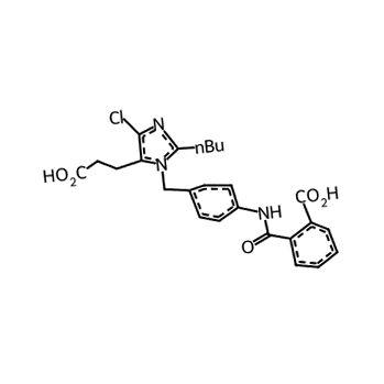 CCCCc1nc(Cl)c(CCC(=O)O)n1Cc1ccc(NC(=O)c2ccccc2C(=O)O)cc1